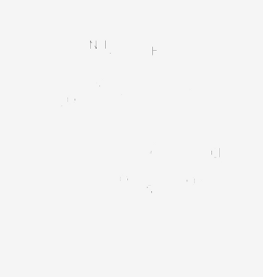 CS(=O)(=O)c1cc(C(N)=O)c(F)cc1Cl